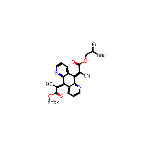 CCCCCCOC(=O)/C(C#N)=c1\c2cccnc2/c(=C(\C#N)C(=O)OCC(CC)CCCC)c2cccnc12